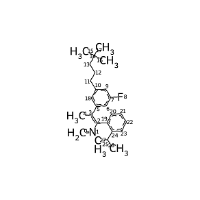 C=N/C(=C(\C)c1cc(F)cc(CCCC(C)(C)C)c1)c1ccccc1C(C)C